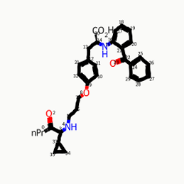 CCCC(=O)C(NCCCOc1ccc(C[C@H](Nc2ccccc2C(=O)c2ccccc2)C(=O)O)cc1)C1CC1